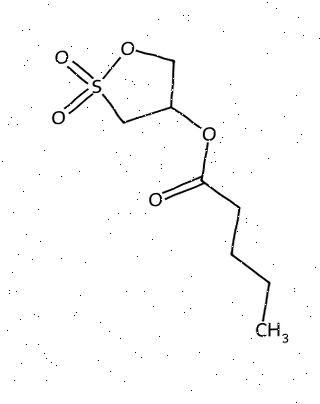 CCCCC(=O)OC1COS(=O)(=O)C1